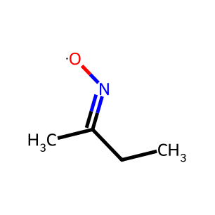 CCC(C)=N[O]